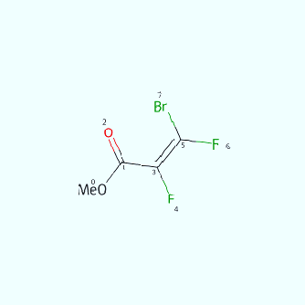 COC(=O)C(F)=C(F)Br